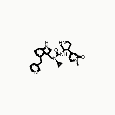 Cn1ccc(C2CCNCC2NC(=O)N(Cc2c[nH]c3cccc(Cc4cccnc4)c23)C2CC2)cc1=O